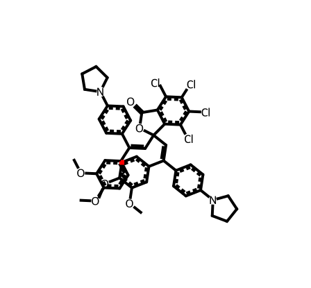 COc1ccc(C(=CC2(C=C(c3ccc(N4CCCC4)cc3)c3ccc(OC)c(OC)c3)OC(=O)c3c(Cl)c(Cl)c(Cl)c(Cl)c32)c2ccc(N3CCCC3)cc2)cc1OC